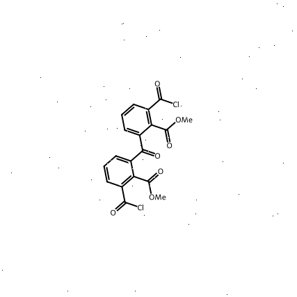 COC(=O)c1c(C(=O)Cl)cccc1C(=O)c1cccc(C(=O)Cl)c1C(=O)OC